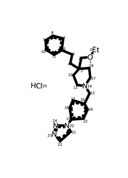 CCOCC1(CCc2ccccc2)CCN(Cc2ccc(-n3ccnn3)cc2)CC1.Cl